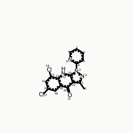 Cc1nn(-c2ccccn2)c2[nH]c3c(Cl)cc(Cl)cc3c(=O)c12